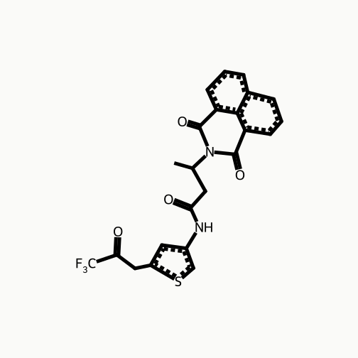 CC(CC(=O)Nc1csc(CC(=O)C(F)(F)F)c1)N1C(=O)c2cccc3cccc(c23)C1=O